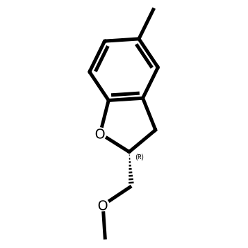 COC[C@H]1Cc2cc(C)ccc2O1